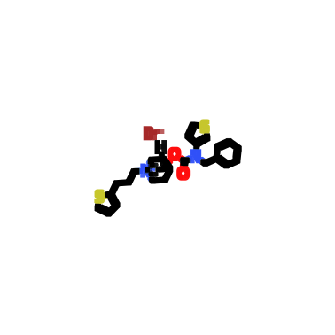 O=C(O[C@H]1C[N+]2(CCCc3cccs3)CCC1CC2)N(Cc1ccccc1)c1ccsc1.[Br-]